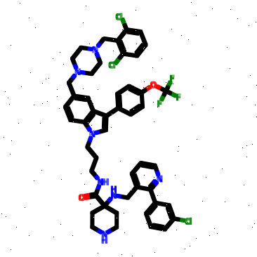 O=C(NCCCn1cc(-c2ccc(OC(F)(F)F)cc2)c2cc(CN3CCN(Cc4c(Cl)cccc4Cl)CC3)ccc21)C1(NCc2cccnc2-c2cccc(Cl)c2)CCNCC1